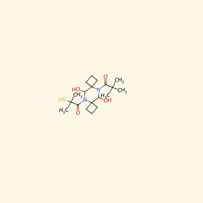 CC(C)(C)C(=O)N1C(O)C2(CCC2)N(C(=O)C(C)(C)S)C(O)C12CCC2